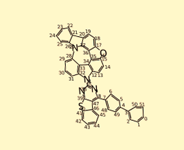 c1ccc(-c2ccc(-c3nc(-n4c5ccc6oc7ccc8c9ccccc9n9c%10cccc4c%10c5c6c7c89)nc4sc5ccccc5c34)cc2)cc1